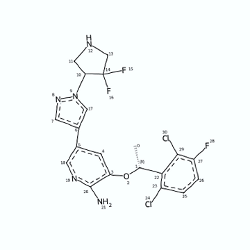 C[C@@H](Oc1cc(-c2cnn(C3CNCC3(F)F)c2)cnc1N)c1c(Cl)ccc(F)c1Cl